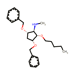 CCCCCO[C@H]1[C@H](NC)[C@@H](OCc2ccccc2)C[C@H]1OCc1ccccc1